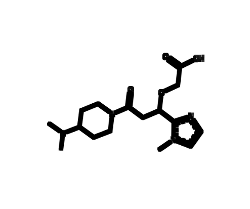 CN(C)C1CCN(C(=O)CC(OCC(=O)O)c2nccn2C)CC1